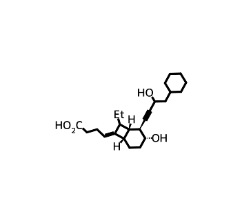 CCC1C(=CCCC(=O)O)[C@H]2CC[C@@H](O)[C@H](C#CC(O)CC3CCCCC3)[C@@H]12